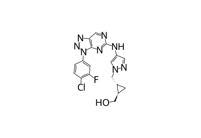 OC[C@@H]1C[C@H]1Cn1cc(Nc2ncc3nnn(-c4ccc(Cl)c(F)c4)c3n2)cn1